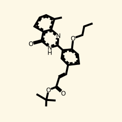 CCCOc1ccc(C=CC(=O)OC(C)(C)C)cc1-c1nc2c(C)cccc2c(=O)[nH]1